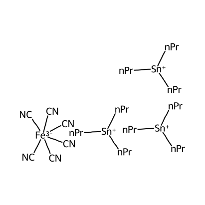 CC[CH2][Sn+]([CH2]CC)[CH2]CC.CC[CH2][Sn+]([CH2]CC)[CH2]CC.CC[CH2][Sn+]([CH2]CC)[CH2]CC.N#[C][Fe-3]([C]#N)([C]#N)([C]#N)([C]#N)[C]#N